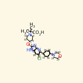 CC(C)(C(=O)O)N1CCC(Oc2nc3nc(-c4ccc(N5CCOCC5)cc4)c(Cl)cc3[nH]2)CC1